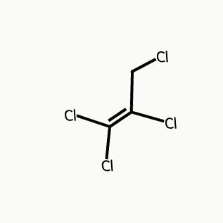 ClCC(Cl)=C(Cl)Cl